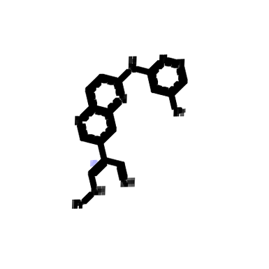 CC(C)N/C=C(\C=N)c1cnc2ccc(Nc3cc(C(C)C)cnn3)nc2c1